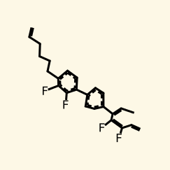 C=CCCCCc1ccc(-c2ccc(C(=C/C)/C(F)=C(/F)C=C)cc2)c(F)c1F